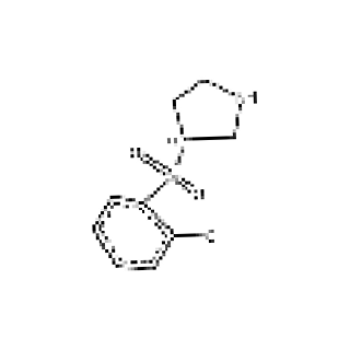 O=S(=O)(c1ccccc1Cl)[C@@H]1CCNC1